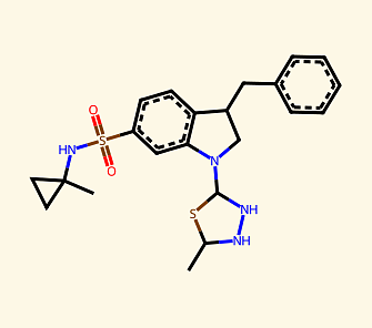 CC1NNC(N2CC(Cc3ccccc3)c3ccc(S(=O)(=O)NC4(C)CC4)cc32)S1